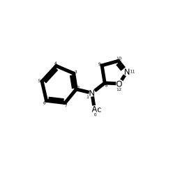 CC(=O)N(c1ccccc1)C1C[C]=NO1